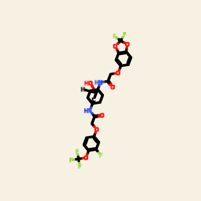 O=C(COc1ccc(OC(F)(F)F)c(F)c1)NC12CCC(NC(=O)COc3ccc4c(c3)OC(F)(F)O4)(CC1)[C@@H](O)C2